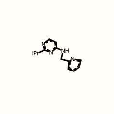 CC(C)c1nccc(NCc2ccccn2)n1